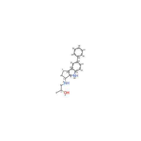 CC(O)CNC1CCc2c1[nH]c1ccc(-c3ccccc3)cc21